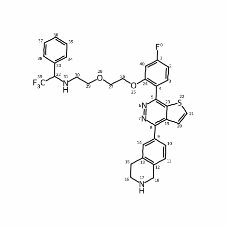 Fc1ccc(-c2nnc(-c3ccc4c(c3)CCNC4)c3ccsc23)c(OCCOCCNC(c2ccccc2)C(F)(F)F)c1